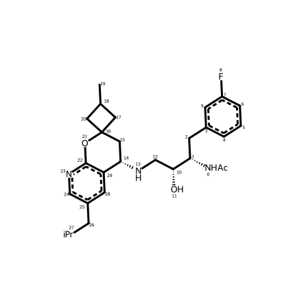 CC(=O)N[C@@H](Cc1cccc(F)c1)[C@H](O)CN[C@H]1CC2(CC(C)C2)Oc2ncc(CC(C)C)cc21